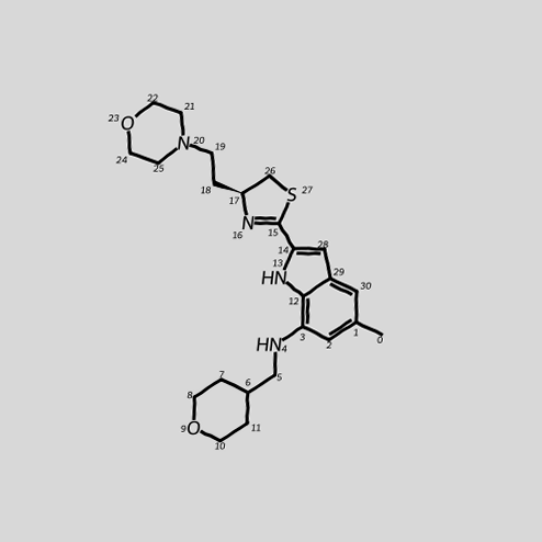 Cc1cc(NCC2CCOCC2)c2[nH]c(C3=N[C@@H](CCN4CCOCC4)CS3)cc2c1